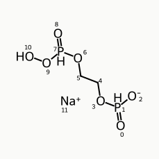 O=[PH]([O-])OCCO[PH](=O)OO.[Na+]